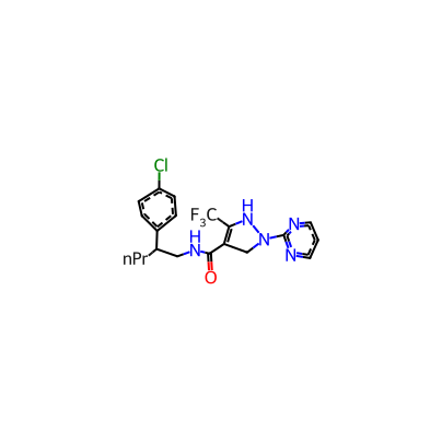 CCCC(CNC(=O)C1=C(C(F)(F)F)NN(c2ncccn2)C1)c1ccc(Cl)cc1